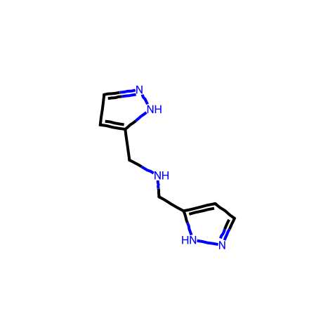 c1cc(CNCc2ccn[nH]2)[nH]n1